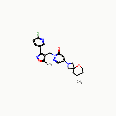 Cc1onc(-c2ccc(Cl)nc2)c1Cn1ncc(N2CC3(C[C@@H](C)CCO3)C2)cc1=O